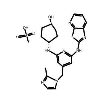 CS(=O)(=O)O.Cc1nccn1Cc1cc(Nc2nc3cccnc3s2)nc(N[C@H]2CC[C@H](O)CC2)c1